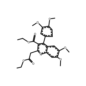 CCOC(=O)Cc1nc2cc(OC)c(OC)cc2c(-c2ccc(OC)c(OC)c2)c1C(=O)OCC